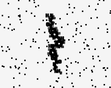 NCC=NC(=O)c1cc2cc(Nc3ncc(F)c(Nc4ccc5oc(C(=O)N=CCN)cc5c4)n3)ccc2o1